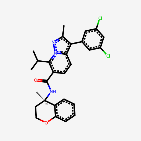 Cc1nn2c(C(C)C)c(C(=O)N[C@]3(C)CCOc4ccccc43)ccc2c1-c1cc(Cl)cc(Cl)c1